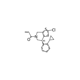 C=CC(=O)N1Cc2sc(Cl)cc2[C@@H](c2ccccc2C2CC2)C1